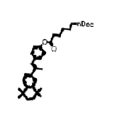 CCCCCCCCCCCCCCCC(=O)Oc1ccc(/C=C(\C)c2ccc3c(c2)C(C)(C)CCC3(C)C)cc1